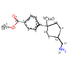 CCCOC(=O)c1ccc(C2(C=O)CCC(CN)CC2)cc1